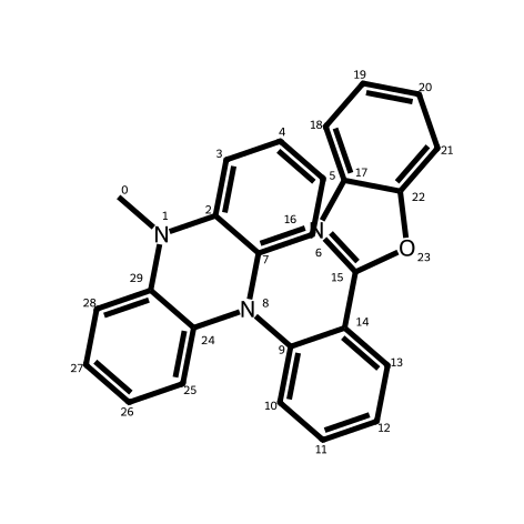 CN1c2ccccc2N(c2ccccc2-c2nc3ccccc3o2)c2ccccc21